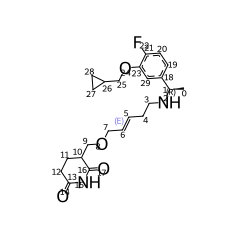 C[C@@H](NCC/C=C/COCC1CCC(=O)NC1=O)c1ccc(F)c(OCC2CC2)c1